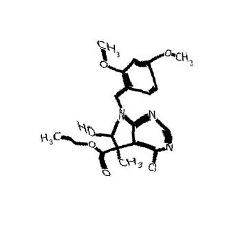 CCOC(=O)C1(C)c2c(Cl)ncnc2N(Cc2ccc(OC)cc2OC)C1O